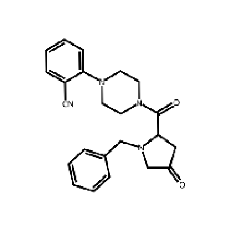 N#Cc1ccccc1N1CCN(C(=O)C2CC(=O)CN2Cc2ccccc2)CC1